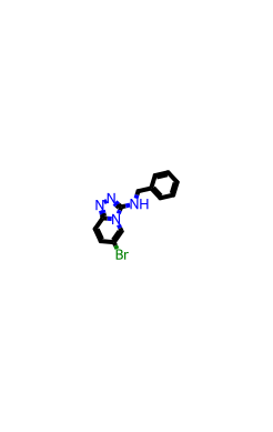 Brc1ccc2nnc(NCc3ccccc3)n2c1